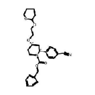 N#Cc1ccc([C@@H]2C[C@@H](OCCOC3CCCCO3)CCN2C(=O)OCc2ccccc2)cc1